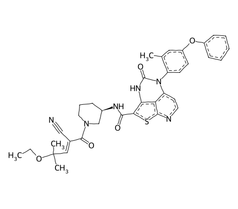 CCOC(C)(C)/C=C(\C#N)C(=O)N1CCC[C@@H](NC(=O)c2sc3nccc4c3c2NC(=O)N4c2ccc(Oc3ccccc3)cc2C)C1